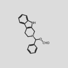 O=COC(c1ccccc1)N1CCc2c([nH]c3ccccc23)C1